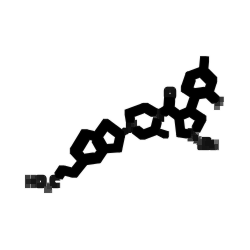 Cc1ccc(C2CN(C(C)(C)C)CC2C(=O)N2CCN([C@H]3Cc4ccc(CCC(=O)O)cc4C3)C[C@@H]2C)c(F)c1